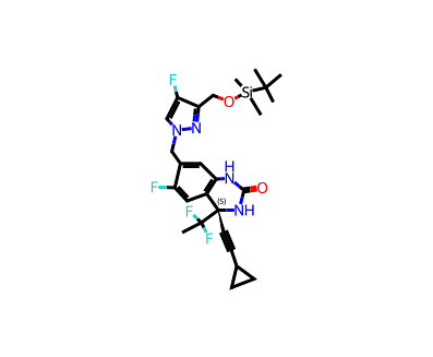 CC(F)(F)[C@@]1(C#CC2CC2)NC(=O)Nc2cc(Cn3cc(F)c(CO[Si](C)(C)C(C)(C)C)n3)c(F)cc21